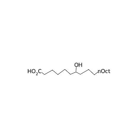 CCCCCCCCCCCC(O)CCCCCC(=O)O